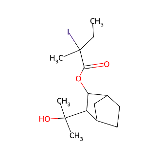 CCC(C)(I)C(=O)OC1C2CCC(C2)C1C(C)(C)O